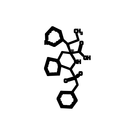 CCC(c1cccnc1)[C@]1(C(=O)O)Cc2ccccc2C(S(=O)(=O)Cc2ccccc2)N1